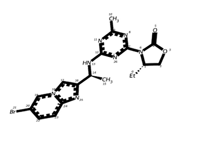 CC[C@H]1COC(=O)N1c1nc(C)nc(N[C@@H](C)c2cn3cc(Br)ccc3n2)n1